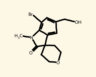 CN1C(=O)C2(CCOCC2)c2cc(CO)cc(Br)c21